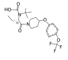 CC[C@@H](C(=O)N1CCC(Oc2ccc(OC(F)(F)F)cc2)CC1)N(C(=O)O)C(C)(C)C